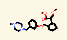 COC=C(C(=O)OC)c1ccccc1COc1cccc(CN2CCN(C)CC2)c1